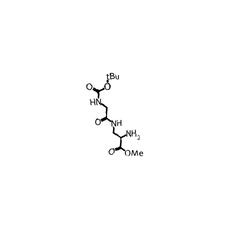 COC(=O)C(N)CNC(=O)CNC(=O)OC(C)(C)C